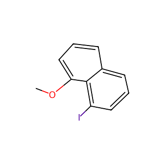 COc1cccc2cccc(I)c12